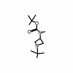 CN(C(=O)OC(C)(C)C)C1CN(C(C)(C)C)C1